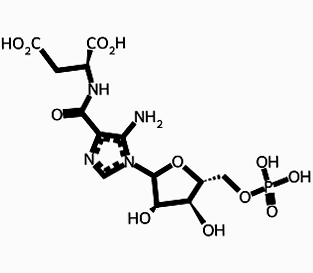 Nc1c(C(=O)N[C@@H](CC(=O)O)C(=O)O)ncn1C1O[C@H](COP(=O)(O)O)[C@@H](O)[C@H]1O